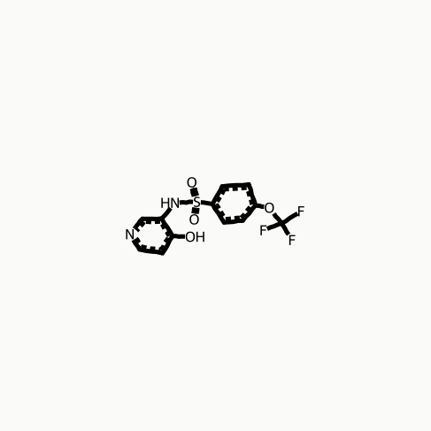 O=S(=O)(Nc1cnccc1O)c1ccc(OC(F)(F)F)cc1